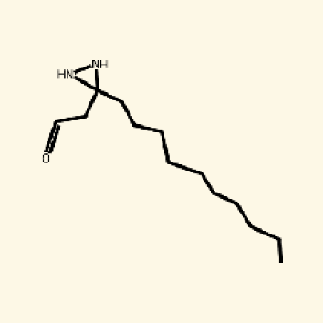 CCCCCCCCCCC1(CC=O)NN1